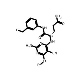 CCOc1nc(N)nc(N[C@@H](CCC(N)=O)C(=O)Nc2cccc(CF)c2)c1C#N